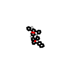 c1cc(-c2ccccc2-c2ccc3ccccc3c2)cc(N(c2ccccc2-c2ccc3c(c2)oc2ccccc23)c2cccc3sc4ccccc4c23)c1